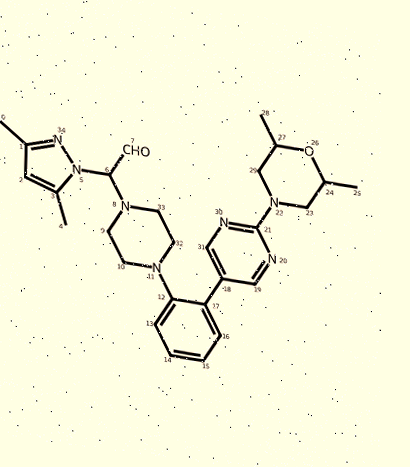 Cc1cc(C)n(C(C=O)N2CCN(c3ccccc3-c3cnc(N4CC(C)OC(C)C4)nc3)CC2)n1